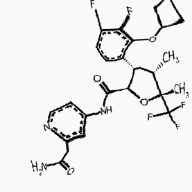 C[C@H]1[C@@H](c2ccc(F)c(F)c2OC2CCC2)[C@H](C(=O)Nc2ccnc(C(N)=O)c2)O[C@@]1(C)C(F)(F)F